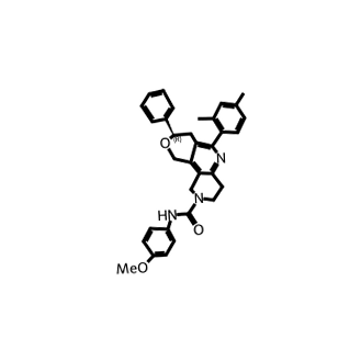 COc1ccc(NC(=O)N2CCc3nc(-c4ccc(C)cc4C)c4c(c3C2)CO[C@@H](c2ccccc2)C4)cc1